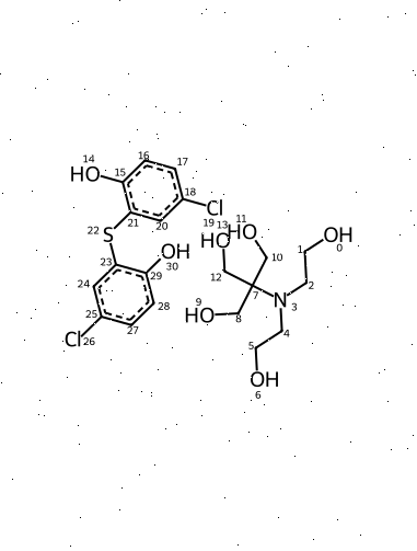 OCCN(CCO)C(CO)(CO)CO.Oc1ccc(Cl)cc1Sc1cc(Cl)ccc1O